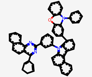 C1=CC(c2nc(-c3cccc(-n4c5ccc6ccccc6c5c5cccc(-c6ccc7c(c6)N(c6ccccc6)c6ccccc6O7)c54)c3)nc3c2ccc2ccccc23)=CCC1